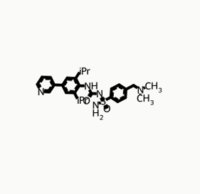 CC(C)c1cc(-c2cccnc2)cc(C(C)C)c1NC(=O)N=S(N)(=O)c1ccc(CN(C)C)cc1